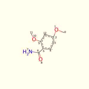 COc1c[c]c(C(N)=O)c(OC)c1